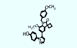 COc1ccc(CN2C(=O)C3(CCC3)c3cc(-c4ccnn4-c4ccc(O)cc4)cc(OC)c32)cc1